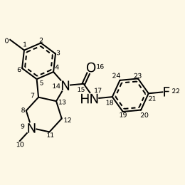 Cc1ccc2c(c1)C1CN(C)CCC1N2C(=O)Nc1ccc(F)cc1